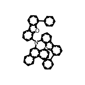 c1ccc(-c2cccc3c2oc2c(N(c4cc5ccccc5c5ccccc45)c4cccc5c4oc4c(-c6ccccc6)cccc45)cccc23)cc1